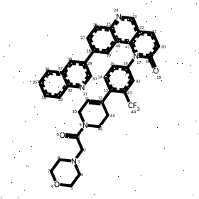 O=C(CN1CCOCC1)N1CC=C(c2ccc(-n3c(=O)ccc4cnc5ccc(-c6cnc7ccccc7c6)cc5c43)cc2C(F)(F)F)CC1